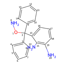 NOC(c1ccccc1)(c1ccccc1)c1cccc(N)c1N